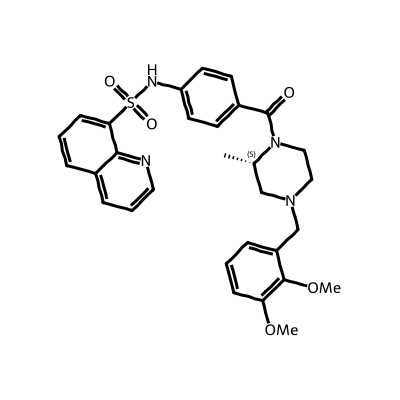 COc1cccc(CN2CCN(C(=O)c3ccc(NS(=O)(=O)c4cccc5cccnc45)cc3)[C@@H](C)C2)c1OC